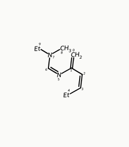 C=C(/C=C\CC)/N=C\N(C)CC